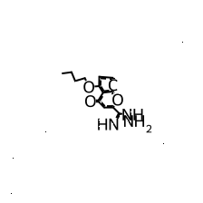 CCCCOc1cccc2oc(C(=N)NN)cc(=O)c12